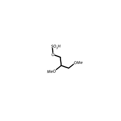 COCC(COS(=O)(=O)O)OC